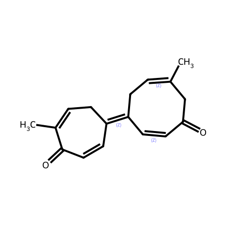 CC1=CC/C(=C2/C=C\C(=O)C/C(C)=C\C2)C=CC1=O